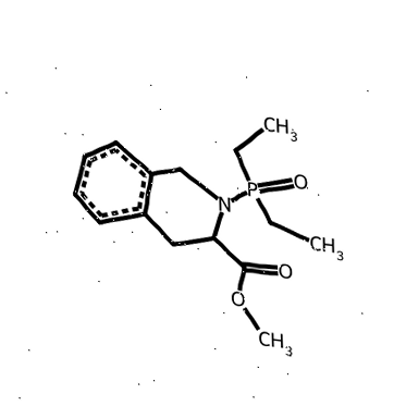 CCP(=O)(CC)N1Cc2ccccc2CC1C(=O)OC